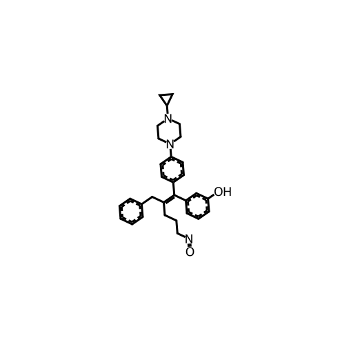 O=NCCC/C(Cc1ccccc1)=C(/c1ccc(N2CCN(C3CC3)CC2)cc1)c1cccc(O)c1